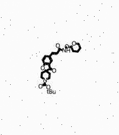 CC(C)(C)OC(=O)N1CCC2(CC1)Oc1ccc(C=CC(=O)NOC3CCCCO3)cc1C2=O